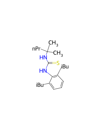 CCCC(C)(C)NC(=S)Nc1c(C(C)CC)cccc1C(C)CC